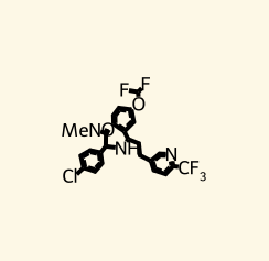 CNC(=O)C(NC(CCc1ccc(C(F)(F)F)nc1)c1cccc(OC(F)F)c1)c1ccc(Cl)cc1